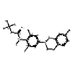 Cc1ccc2c(c1)CN(c1cc(C)c(N(C)C(=O)CC(C)(C)C)c(C)c1)CC2